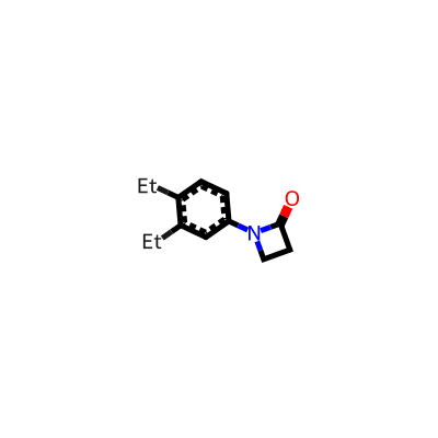 CCc1ccc(N2CCC2=O)cc1CC